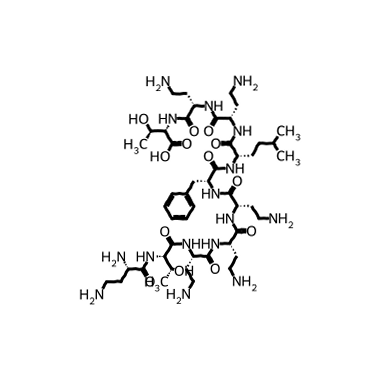 CC(C)CC[C@H](NC(=O)[C@@H](Cc1ccccc1)NC(=O)[C@H](CCN)NC(=O)[C@H](CCN)NC(=O)[C@H](CCN)NC(=O)[C@@H](NC(=O)[C@@H](N)CCN)[C@@H](C)O)C(=O)N[C@@H](CCN)C(=O)N[C@@H](CCN)C(=O)N[C@H](C(=O)O)[C@@H](C)O